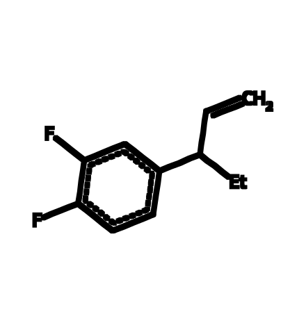 C=CC(CC)c1ccc(F)c(F)c1